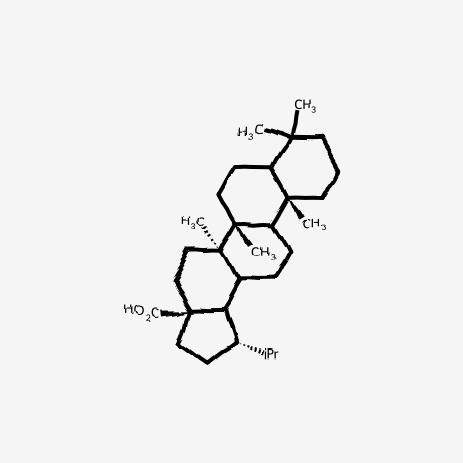 CC(C)[C@@H]1CC[C@]2(C(=O)O)CC[C@]3(C)C(CCC4[C@@]5(C)CCCC(C)(C)C5CC[C@]43C)C12